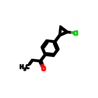 CCC(=O)c1ccc(C2CC2Cl)cc1